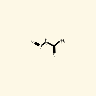 NC(=O)N[Si]=O